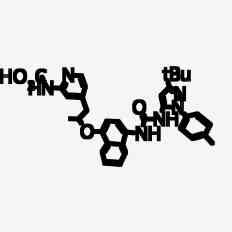 Cc1ccc(-n2nc(C(C)(C)C)cc2NC(=O)Nc2ccc(OC(C)Cc3ccnc(NC(=O)O)c3)c3ccccc23)cc1